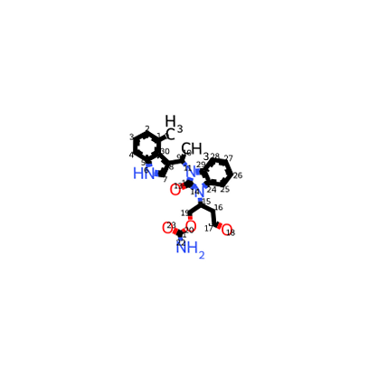 Cc1cccc2[nH]cc(C(C)n3c(=O)n(C(C[C]=O)COC(N)=O)c4ccccc43)c12